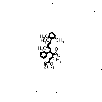 CCOC(C=C(C)C(C(C=C(C)C=CC1=C(C)CCCC1(C)C)c1ccccc1)=S(=O)=O)OCC